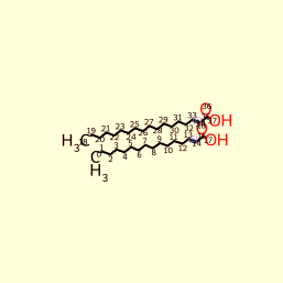 CCCCCCCCCCCCC/C=C/C(=O)O.CCCCCCCCCCCCCCC/C=C/C(=O)O